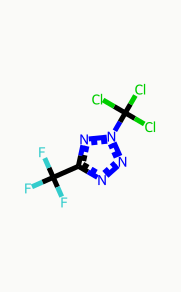 FC(F)(F)c1nnn(C(Cl)(Cl)Cl)n1